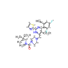 C#Cc1cc(F)cc(F)c1[C@@H]1N=C(c2nccs2)NC(CN2CCN(C(=O)N(C)CC(C)(C)C(=O)O)CC2)=C1C(=O)OCC